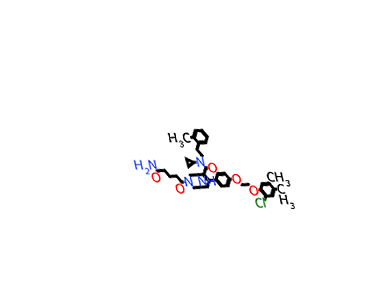 Cc1cc(Cl)c(OCCOc2ccc(C3=C(C(=O)N(CCc4ccccc4C)C4CC4)C4CN(C(=O)CCCC(N)=O)CC(C3)N4)cc2)cc1C